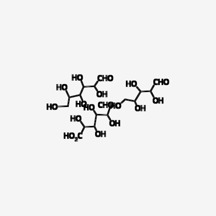 O=CC(O)C(O)C(O)C(O)C(=O)O.O=CC(O)C(O)C(O)C(O)CO.O=CC(O)C(O)C(O)CO